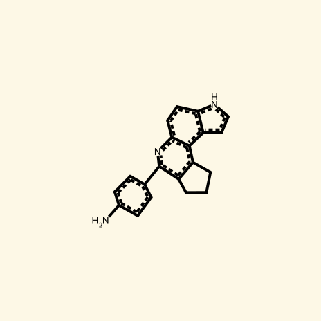 Nc1ccc(-c2nc3ccc4[nH]ccc4c3c3c2CCC3)cc1